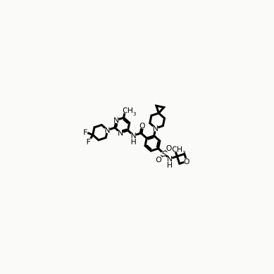 Cc1cc(NC(=O)c2ccc(S(=O)(=O)NC3(C)COC3)cc2N2CCC3(CC2)CC3)nc(N2CCC(F)(F)CC2)n1